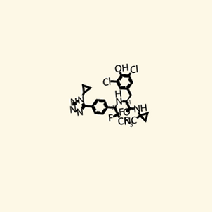 N#CC1(NC(=O)[C@H](Cc2cc(Cl)c(O)c(Cl)c2)N[C@@H](c2ccc(-c3nnnn3C3CC3)cc2)C(F)(F)C(F)(F)F)CC1